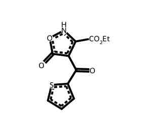 CCOC(=O)c1[nH]oc(=O)c1C(=O)c1cccs1